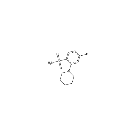 NS(=O)(=O)c1ccc(F)cc1N1CCCCC1